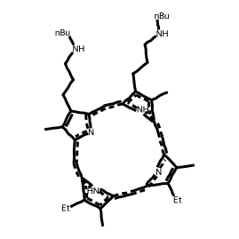 CCCCNCCCC1=C(C)c2cc3[nH]c(cc4nc(cc5[nH]c(cc1n2)c(CCCNCCCC)c5C)C(C)=C4CC)c(C)c3CC